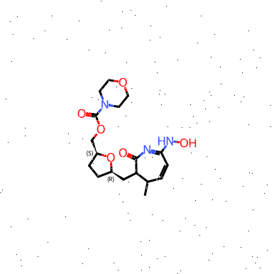 CC1C=CC(NO)=NC(=O)C1C[C@H]1CC[C@@H](COC(=O)N2CCOCC2)O1